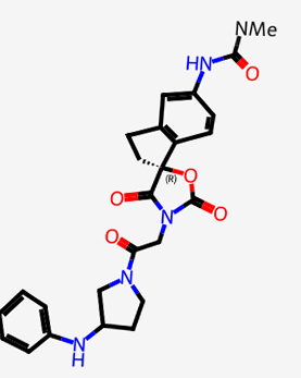 CNC(=O)Nc1ccc2c(c1)CC[C@@]21OC(=O)N(CC(=O)N2CCC(Nc3ccccc3)C2)C1=O